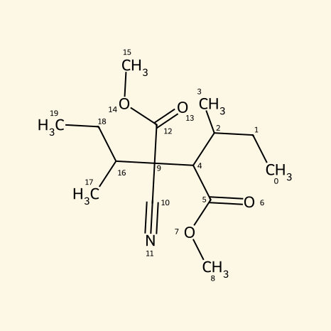 CCC(C)C(C(=O)OC)C(C#N)(C(=O)OC)C(C)CC